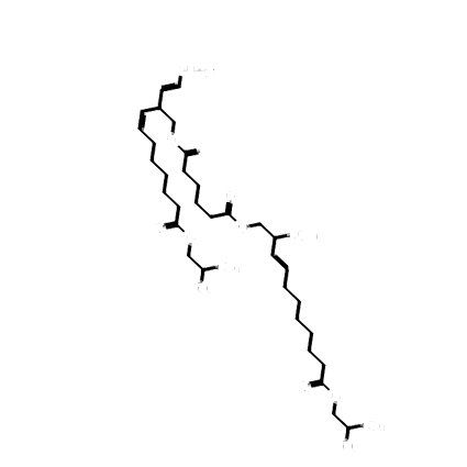 CCCCCCC/C=C/C(/C=C\CCCCCC(=O)OCC(CC)CCCC)COC(=O)CCCCC(=O)OCC(/C=C/CCCCCCC(=O)OCC(CC)CCCC)CCCCCCCC